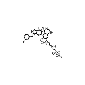 COc1cc2c(cc1OCCNCCS(C)(=O)=O)NC=NC2(N)c1ccc2c(cnn2Cc2cccc(F)c2)c1